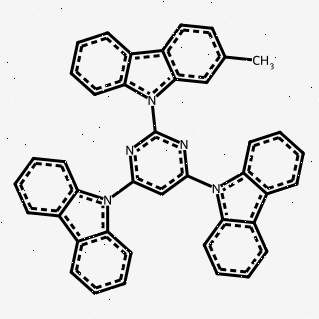 Cc1ccc2c3ccccc3n(-c3nc(-n4c5ccccc5c5ccccc54)cc(-n4c5ccccc5c5ccccc54)n3)c2c1